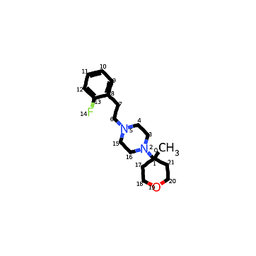 CC1(N2CCN(CCc3ccccc3F)CC2)CCOCC1